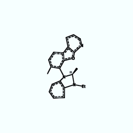 CCN1c2ccccc2N(c2c(C)ccc3c2oc2ncccc23)[C@H]1C